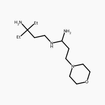 CCC(N)(CC)CCNC(N)CCN1CCOCC1